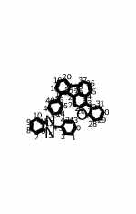 c1ccc(-c2nc3ccccc3n2-c2ccc(-c3cccc4c3-c3cc5oc6ccccc6c5c5cccc-4c35)cc2)cc1